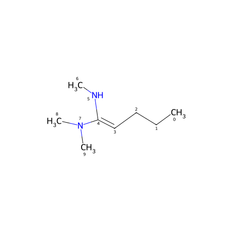 CCC/C=C(\NC)N(C)C